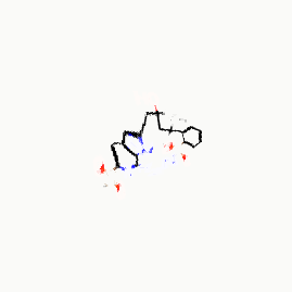 CCS(=O)(=O)c1cc2cc(CC(O)(CC(C)(C)c3ccccc3S(N)(=O)=O)C(F)(F)F)[nH]c2cn1